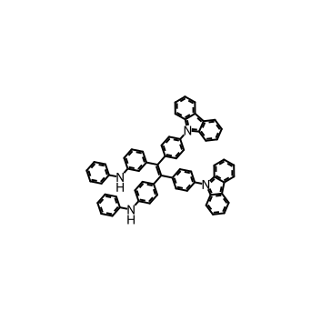 c1ccc(Nc2ccc(C(=C(c3ccc(-n4c5ccccc5c5ccccc54)cc3)c3cccc(Nc4ccccc4)c3)c3ccc(-n4c5ccccc5c5ccccc54)cc3)cc2)cc1